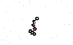 Cc1c2ccccc2c(-c2cccc(-c3ccc(-c4ccc(C5=CCCC=C5)s4)s3)c2)c2ccccc12